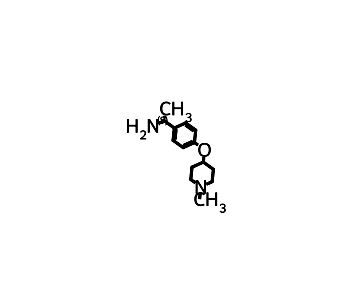 C[C@H](N)c1ccc(OC2CCN(C)CC2)cc1